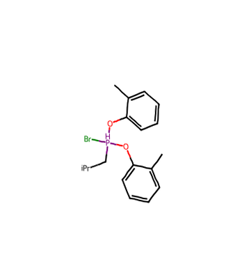 Cc1ccccc1O[PH](Br)(CC(C)C)Oc1ccccc1C